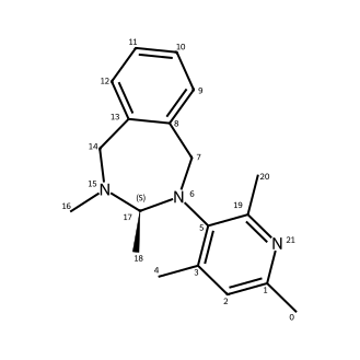 Cc1cc(C)c(N2Cc3ccccc3CN(C)[C@@H]2C)c(C)n1